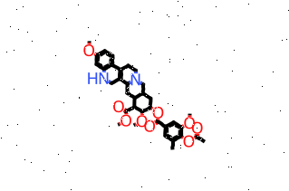 COC(=O)C1C2CC3C4=C(CCN3CC2CC(OC(=O)c2cc(C)c(OC(C)=O)c(OC)c2)C1OC)c1ccc(OC)cc1NC4